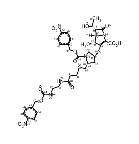 CC(O)[C@@H]1C(=O)N2C(C(=O)O)=C(S[C@H]3C[C@@H](CSCCC(=O)NCCNC(=O)OCc4ccc([N+](=O)[O-])cc4)N(C(=O)OCc4ccc([N+](=O)[O-])cc4)C3)[C@H](C)[C@H]12